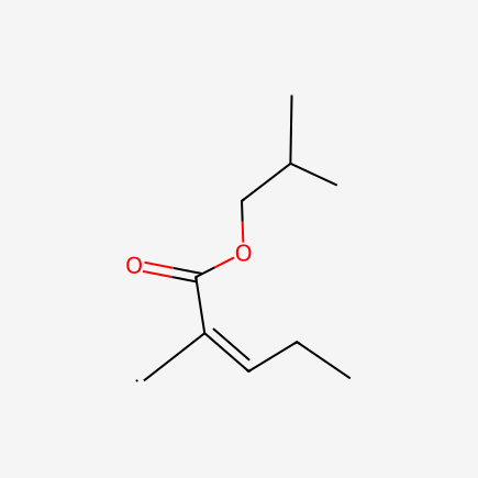 [CH2]C(=CCC)C(=O)OCC(C)C